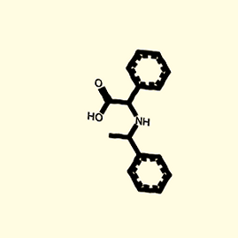 CC(NC(C(=O)O)c1ccccc1)c1ccccc1